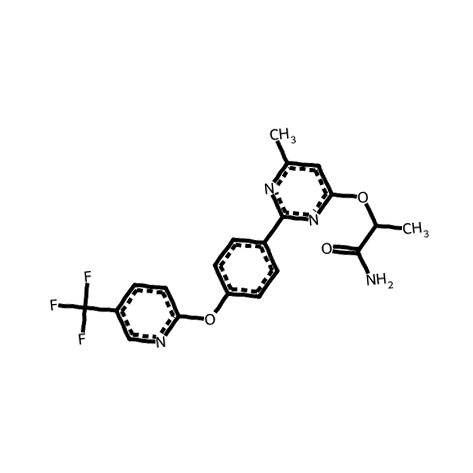 Cc1cc(OC(C)C(N)=O)nc(-c2ccc(Oc3ccc(C(F)(F)F)cn3)cc2)n1